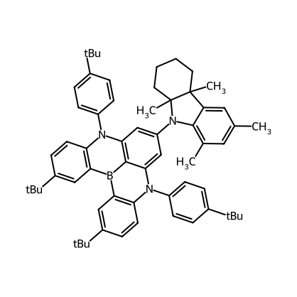 Cc1cc(C)c2c(c1)C1(C)CCCCC1(C)N2c1cc2c3c(c1)N(c1ccc(C(C)(C)C)cc1)c1ccc(C(C)(C)C)cc1B3c1cc(C(C)(C)C)ccc1N2c1ccc(C(C)(C)C)cc1